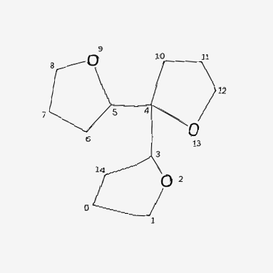 C1COC(C2(C3CCCO3)CCCO2)C1